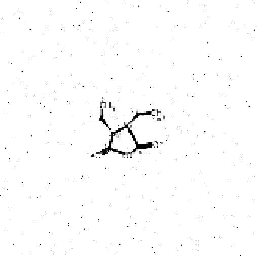 CC[C@@H]1C(=O)OC(=O)[C@@H]1CC